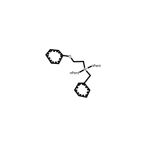 CCCCC[N+](CCCCC)(CCOc1ccccc1)Cc1ccccc1